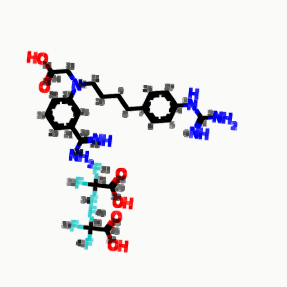 N=C(N)Nc1ccc(CCCCN(CC(=O)O)c2cccc(C(=N)N)c2)cc1.O=C(O)C(F)(F)F.O=C(O)C(F)(F)F